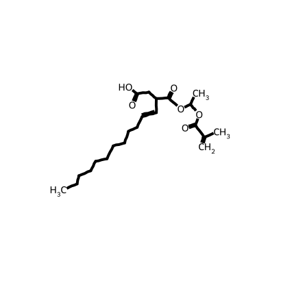 C=C(C)C(=O)OC(C)OC(=O)C(C=CCCCCCCCCCC)CC(=O)O